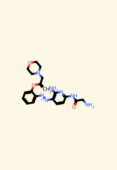 C=C(CN1CCOCC1)Oc1ccccc1/N=N/c1ccc(NC(=O)CN)nc1N